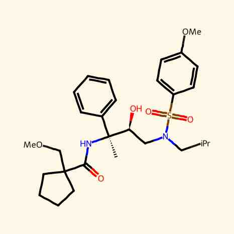 COCC1(C(=O)N[C@@](C)(c2ccccc2)[C@@H](O)CN(CC(C)C)S(=O)(=O)c2ccc(OC)cc2)CCCC1